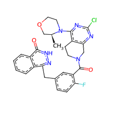 C[C@H]1COCCN1c1nc(Cl)nc2c1CCN(C(=O)c1cc(Cc3n[nH]c(=O)c4ccccc34)ccc1F)C2